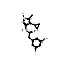 CCn1nc(NC(=O)Cc2cc(F)cc(F)c2)c(C2CC2)c1C